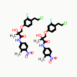 Cc1cc(NC(=O)C(C)(O)COc2ccc(CCCl)c(F)c2)ccc1[N+](=O)[O-].Cc1cc(NC(=O)C(C)(O)COc2ccc(CCCl)c(F)c2)ccc1[N+](=O)[O-]